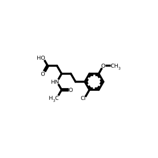 COc1ccc(Cl)c(CCC(CC(=O)O)NC(C)=O)c1